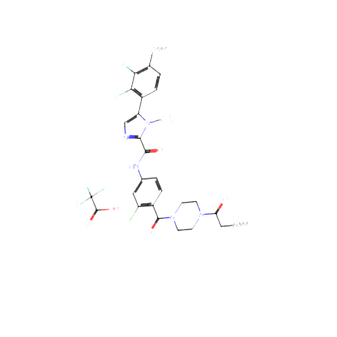 CNCC(=O)N1CCN(C(=O)c2ccc(NC(=O)c3ncc(-c4ccc(OC)c(F)c4F)n3C)cc2Cl)CC1.O=C(O)C(F)(F)F